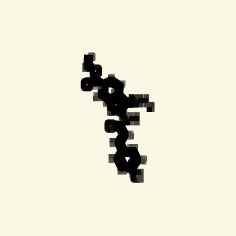 CCOC(=O)N1CCc2c(sc(NC(=O)CCc3ccc(Cl)cc3)c2N)C1